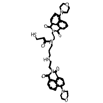 O=C(CCS)N(CCCNCCN1C(=O)c2cccc3c(N4CCOCC4)ccc(c23)C1=O)CCN1C(=O)c2cccc3c(N4CCOCC4)ccc(c23)C1=O